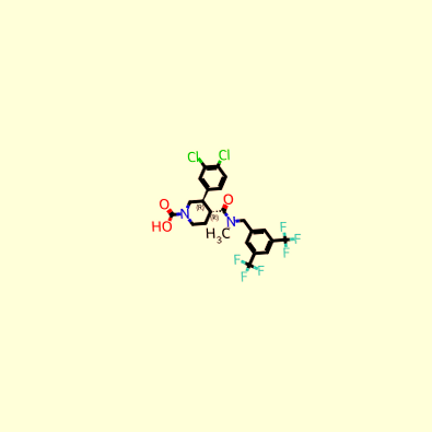 CN(Cc1cc(C(F)(F)F)cc(C(F)(F)F)c1)C(=O)[C@@H]1CCN(C(=O)O)C[C@H]1c1ccc(Cl)c(Cl)c1